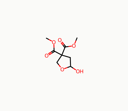 COC(=O)C1(C(=O)OC)COC(O)C1